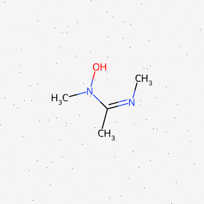 CN=C(C)N(C)O